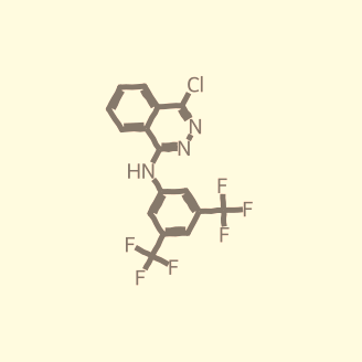 FC(F)(F)c1cc(Nc2nnc(Cl)c3ccccc23)cc(C(F)(F)F)c1